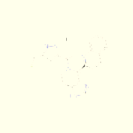 Cn1nc(C(F)F)cc1C(=O)N1CCc2[nH]cnc2[C@@H]1c1ccc2ccccc2n1